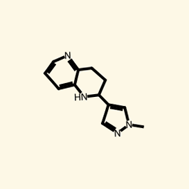 Cn1cc(C2CCc3ncccc3N2)cn1